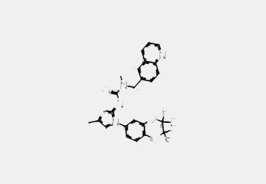 Cc1cn(-c2ccc3c(c2)OC(F)(F)C(F)(F)O3)/c(=N/C(=O)N(C)Cc2ccc3ncccc3c2)s1